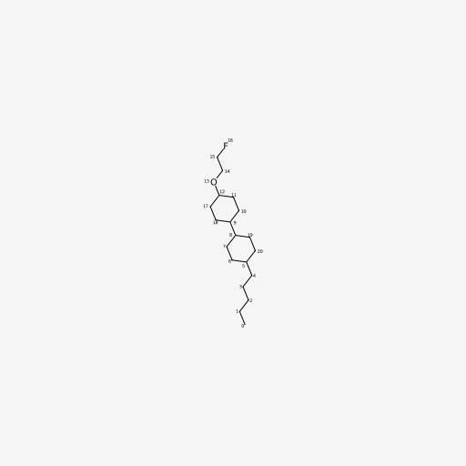 CCCCCC1CCC(C2CCC(OCCF)CC2)CC1